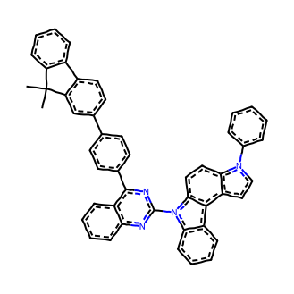 CC1(C)c2ccccc2-c2ccc(-c3ccc(-c4nc(-n5c6ccccc6c6c7ccn(-c8ccccc8)c7ccc65)nc5ccccc45)cc3)cc21